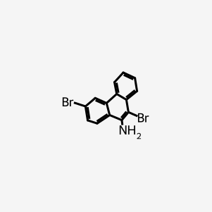 Nc1c(Br)c2ccccc2c2cc(Br)ccc12